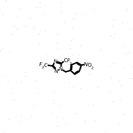 O=[N+]([O-])c1ccc(Cn2nc(C(F)(F)F)nc2C(F)(F)F)cc1